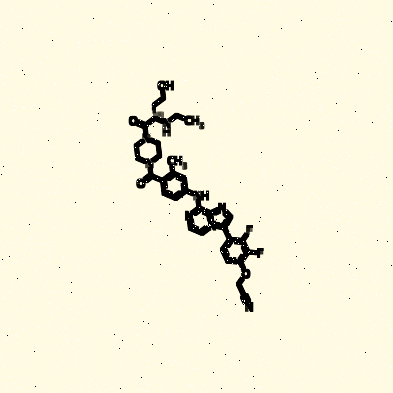 CCN[C@@H](CCO)C(=O)N1CCN(C(=O)c2ccc(Nc3nccn4c(-c5ccc(OCC#N)c(F)c5F)cnc34)cc2C)CC1